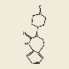 O=C1Nc2ccccc2CCN1C1CCN(Cl)CC1